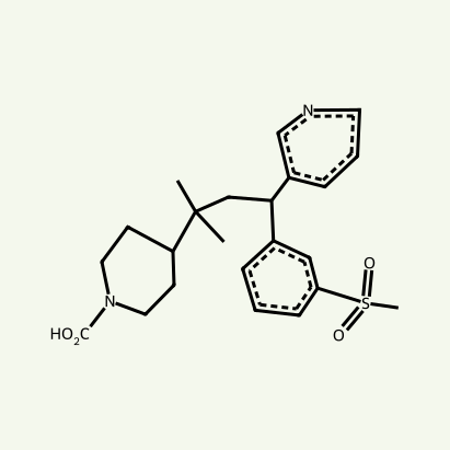 CC(C)(CC(c1cccnc1)c1cccc(S(C)(=O)=O)c1)C1CCN(C(=O)O)CC1